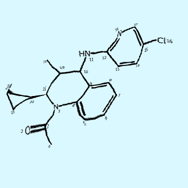 CC(=O)N1c2ccccc2C(Nc2ccc(Cl)cn2)C(C)[C@@H]1C1CC1